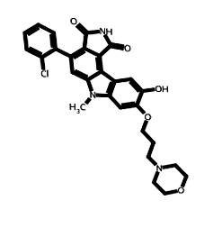 Cn1c2cc(OCCCN3CCOCC3)c(O)cc2c2c3c(c(-c4ccccc4Cl)cc21)C(=O)NC3=O